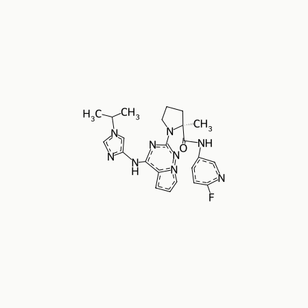 CC(C)n1cnc(Nc2nc(N3CCC[C@@]3(C)C(=O)Nc3ccc(F)nc3)nn3cccc23)c1